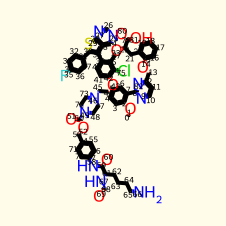 COc1ccccc1-c1nccc(COc2ccccc2CC(Oc2ncnc3sc(-c4ccc(F)cc4)c(-c4ccc(OCCN5CCN(C(=O)OCc6ccc(NC(=O)C(CCCCN)NC=O)cc6)CC5)c(Cl)c4C)c23)C(=O)O)n1